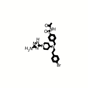 CC(=O)N[S+]([O-])c1ccc(CN(CCc2ccc(Br)cc2)C2CCN(c3nc(N)n[nH]3)CC2)cc1